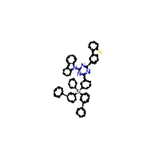 c1ccc(-c2cccc([Si](c3ccccc3)(c3cccc(-c4ccccc4)c3)c3cccc(-c4nc(-c5ccc6sc7ccccc7c6c5)nc(-n5c6ccccc6c6ccccc65)n4)c3)c2)cc1